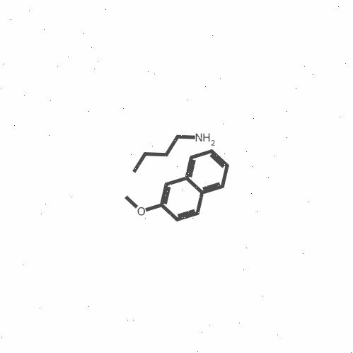 CCCCN.COc1ccc2ccccc2c1